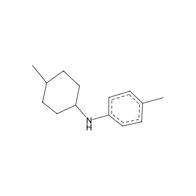 Cc1ccc(NC2CCC(C)CC2)cc1